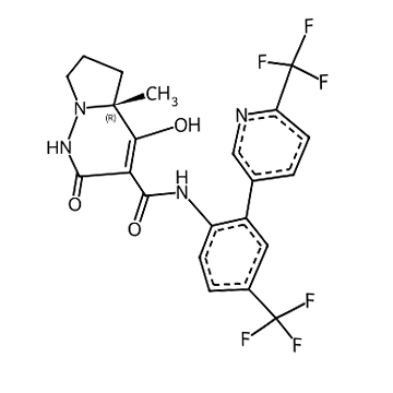 C[C@]12CCCN1NC(=O)C(C(=O)Nc1ccc(C(F)(F)F)cc1-c1ccc(C(F)(F)F)nc1)=C2O